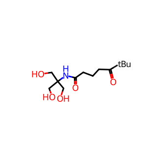 CC(C)(C)C(=O)CCCC(=O)NC(CO)(CO)CO